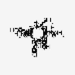 C=C(CCCNC(N)=O)[C@H]1NC(=O)[C@H](Cc2ccc(O)cc2)NC(=O)[C@H](NC(=O)[C@@H](N)Cc2ccc(Cl)cc2)CSSC[C@@H](C(=O)N[C@H](Cc2ccc(O)cc2)C(N)=O)NC(=O)[C@H](C)NC(=O)[C@H](CCCCN)NC1=O